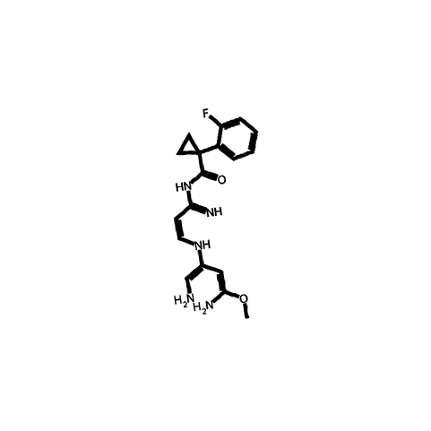 CO/C(N)=C/C(=C\N)N/C=C\C(=N)NC(=O)C1(c2ccccc2F)CC1